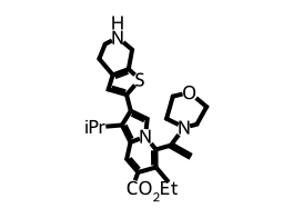 C=C(c1c(C)c(C(=O)OCC)cc2c(C(C)C)c(-c3cc4c(s3)CNCC4)cn12)N1CCOCC1